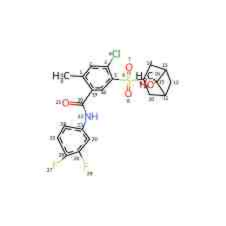 Cc1cc(Cl)c(S(=O)(=O)C2CC3CC(C2)C3(C)O)cc1C(=O)Nc1ccc(F)c(F)c1